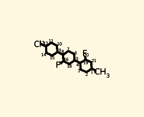 CC1CCC(C2CCC(C3CCC(Cl)CC3)C(F)C2)C(F)C1